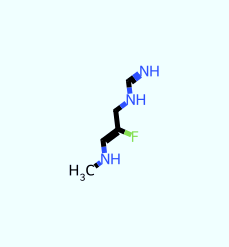 CN/C=C(\F)CNC=N